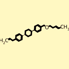 C=CCc1ccc([C@H]2CC[C@H](c3ccc(COCCC=CC)cc3)CC2)cc1